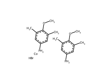 Br.COc1c(C)cc(P)cc1C.COc1c(C)cc(P)cc1C.[Co]